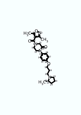 Cc1noc(C)c1C(=O)N1CCN(c2ccc(OCCCN3CCC[C@H]3C)cc2)C(=O)C1